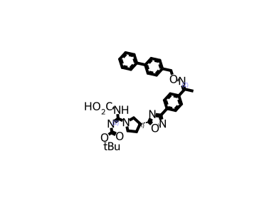 C/C(=N/OCc1ccc(-c2ccccc2)cc1)c1ccc(-c2noc([C@@H]3CCN(/C(=N\C(=O)OC(C)(C)C)NC(=O)O)C3)n2)cc1